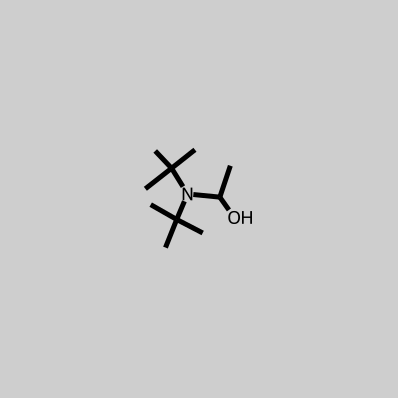 CC(O)N(C(C)(C)C)C(C)(C)C